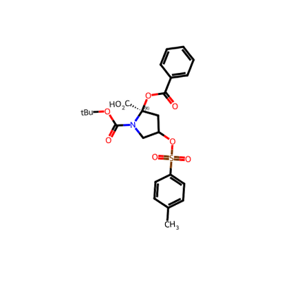 Cc1ccc(S(=O)(=O)OC2CN(C(=O)OC(C)(C)C)[C@](OC(=O)c3ccccc3)(C(=O)O)C2)cc1